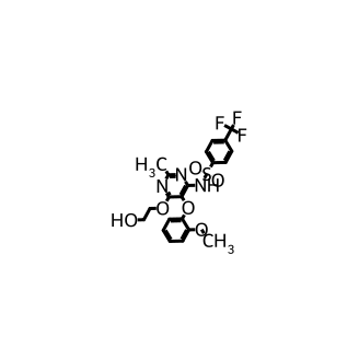 COc1ccccc1Oc1c(NS(=O)(=O)c2ccc(C(F)(F)F)cc2)nc(C)nc1OCCO